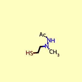 CC(=O)NN(C)CCS